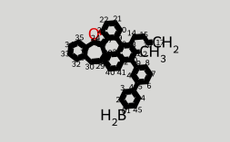 Bc1ccc(-c2cccc(-c3c(C)c(/C=C\C=C)c(-c4cccc5oc6c(c45)CC=Cc4ccccc4-6)c4ccccc34)c2)cc1